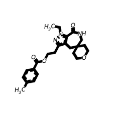 CCn1nc(CCOC(=O)c2ccc(C)cc2)c2c1C(=O)NCC1(CCOCC1)C2